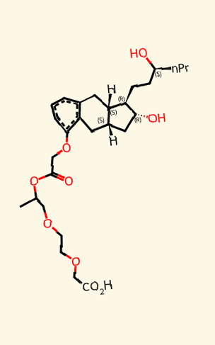 CCC[C@H](O)CC[C@@H]1[C@H]2Cc3cccc(OCC(=O)OC(C)COCCOCC(=O)O)c3C[C@H]2C[C@H]1O